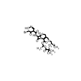 COCCOCC1=C(C(=O)OC(C)OC(=O)C(C)(C)C)N2C(=O)C(NC(=O)C(/C=N\O)C(=O)CBr)[C@H]2SC1